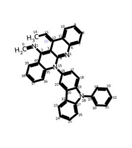 C=NC1=c2c(nc3ccccc3/c2=C/C)N(c2ccc3c(c2)c2ccccc2n3-c2ccccc2)c2ccccc21